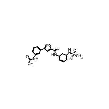 CS(=O)(=O)NC1CC=CC(NC(=O)c2cc(-c3cccc(NC(=O)O)c3)cs2)C1